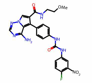 COCCNC(=O)c1cn2ncnc(N)c2c1-c1ccc(NC(=O)Nc2ccc(F)c([N+](=O)[O-])c2)cc1